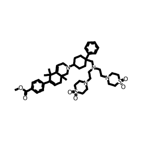 COC(=O)c1ccc(C2=CCC3(C)CN(C4CCC(CN(CCN5CCS(=O)(=O)CC5)CCN5CCS(=O)(=O)CC5)(c5ccccc5)CC4)CC=C3C2(C)C)cc1